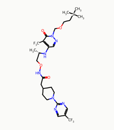 C[C@@H](CONC(=O)CC1CCN(c2ncc(C(F)(F)F)cn2)CC1)Nc1cnn(COCC[Si](C)(C)C)c(=O)c1C(F)(F)F